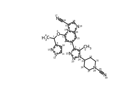 Cc1c(-c2cc(OC(C)c3ccsn3)n3c(C#N)cnc3c2)nnn1C1CCN(C#N)CC1